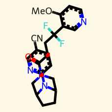 COc1ccncc1C(F)(F)CCC(=O)N1CC2CCC(C1)N2c1ccc(C#N)cn1